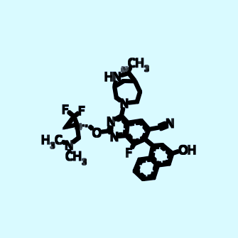 C[C@@H]1NC2CC1CCN(c1nc(OC[C@]3(CN(C)C)CC3(F)F)nc3c(F)c(-c4cc(O)cc5ccccc45)c(C#N)cc13)C2